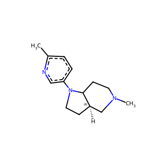 Cc1ccc(N2CC[C@@H]3CN(C)CCC32)cn1